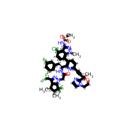 C[C@@H]1c2c(C(F)F)nn(CC(=O)N[C@@H](Cc3cc(F)cc(F)c3)c3nc(C#CC4(C)OCCn5ccnc54)ccc3-c3ccc(Cl)c4c(NS(C)(=O)=O)nn(C)c34)c2C(F)(F)[C@@H]1C